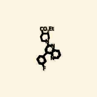 CCOC(=O)C1CCN(c2cc(-c3cccc(F)c3)c3ncccc3n2)CC1